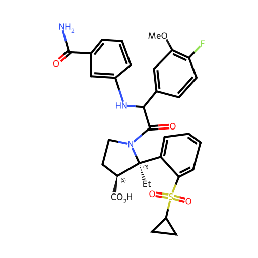 CC[C@]1(c2ccccc2S(=O)(=O)C2CC2)[C@@H](C(=O)O)CCN1C(=O)C(Nc1cccc(C(N)=O)c1)c1ccc(F)c(OC)c1